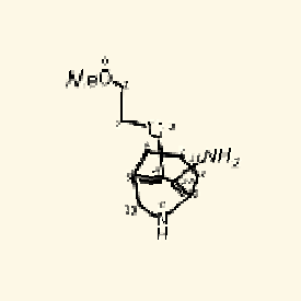 COCCOC1=C2CCCC(=C1N)NC2